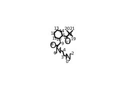 CN(C)CCN(C)C(=O)C[C@H]1CCCC[C@H]1C(=O)C(C)(C)C